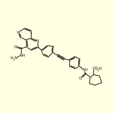 NNC(=O)c1cc(-c2ccc(C#Cc3ccc(NC(=O)N4CCCCC4C(=O)O)cc3)cc2)nc2ccncc12